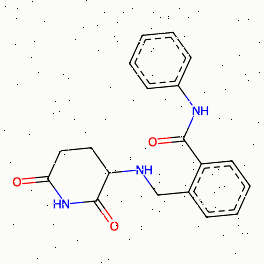 O=C1CCC(NCc2ccccc2C(=O)Nc2ccccc2)C(=O)N1